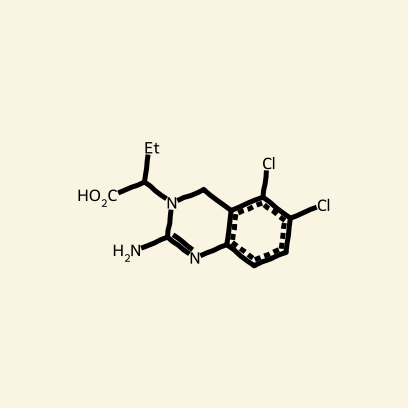 CCC(C(=O)O)N1Cc2c(ccc(Cl)c2Cl)N=C1N